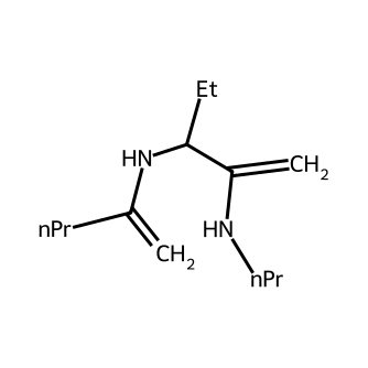 C=C(CCC)NC(CC)C(=C)NCCC